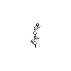 O=S1(=O)CCN(Cc2ccc(/C=N/Nc3ccnc4cc(F)ccc34)cc2)CC1